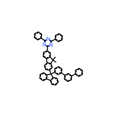 CC1(C)c2cc(-c3nc(-c4ccccc4)nc(-c4ccccc4)n3)ccc2-c2ccc(C3(c4cccc(-c5cccc(-c6ccccc6)c5)c4)c4ccccc4-c4ccccc43)cc21